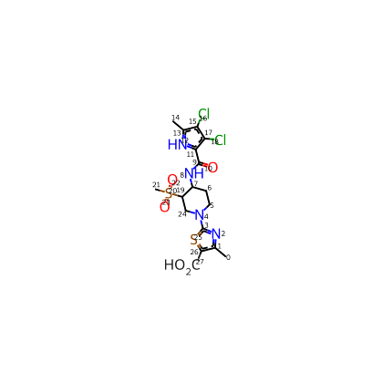 Cc1nc(N2CCC(NC(=O)c3[nH]c(C)c(Cl)c3Cl)C(S(C)(=O)=O)C2)sc1C(=O)O